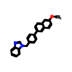 COc1ccc2cc(-c3ccc(Cn4cnc5ccccc54)cc3)ccc2c1